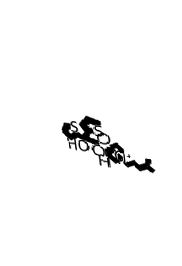 CC(C)=CCC[N+]12CCC(CC1)[C@@H](OC(=O)C(O)(c1cccs1)c1cccs1)C2